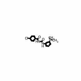 CN(C)c1cccc(NC(=O)NC(=O)c2ccc(Cl)cc2)c1